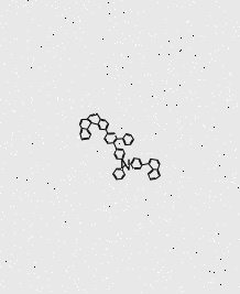 c1ccc(-c2cc(-c3ccc4ccc5ccc6ccccc6c5c4c3)ccc2-c2ccc(N(c3ccccc3)c3ccc(-c4cccc5ccccc45)cc3)cc2)cc1